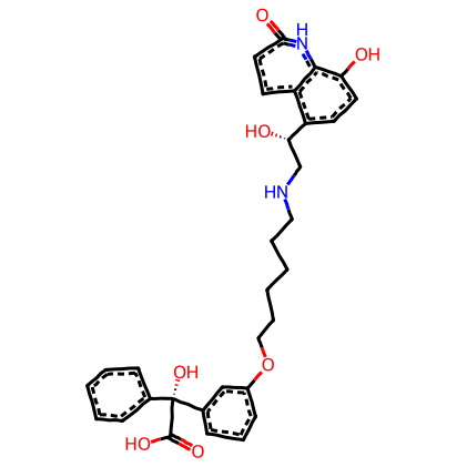 O=C(O)[C@@](O)(c1ccccc1)c1cccc(OCCCCCCNC[C@H](O)c2ccc(O)c3[nH]c(=O)ccc23)c1